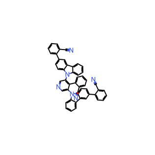 N#Cc1ccccc1-c1ccc2c(c1)c1ccccc1n2-c1cncc(-n2c3ccccc3c3cc(-c4ccccc4C#N)ccc32)c1-c1ccccc1C#N